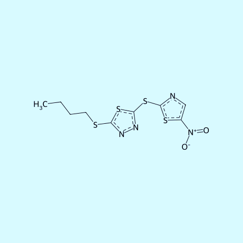 CCCCSc1nnc(Sc2ncc([N+](=O)[O-])s2)s1